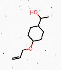 C=CCOC1CCC(C(C)O)CC1